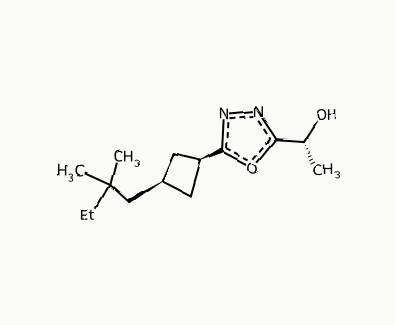 CCC(C)(C)C[C@H]1C[C@@H](c2nnc([C@@H](C)O)o2)C1